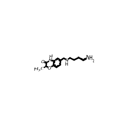 CC1Oc2ccc(CNCCCCN)cc2NC1=O